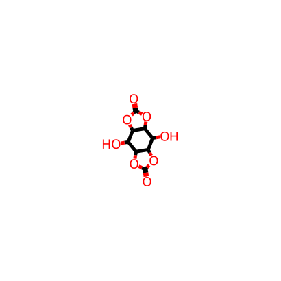 O=C1OC2C(O)C3OC(=O)OC3C(O)C2O1